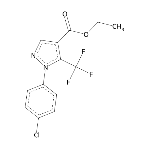 CCOC(=O)c1cnn(-c2ccc(Cl)cc2)c1C(F)(F)F